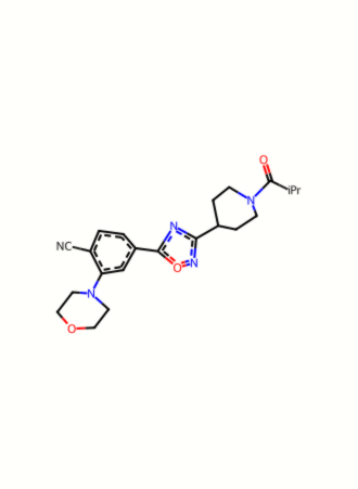 CC(C)C(=O)N1CCC(c2noc(-c3ccc(C#N)c(N4CCOCC4)c3)n2)CC1